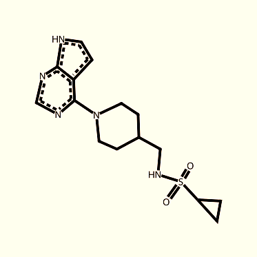 O=S(=O)(NCC1CCN(c2ncnc3[nH]ccc23)CC1)C1CC1